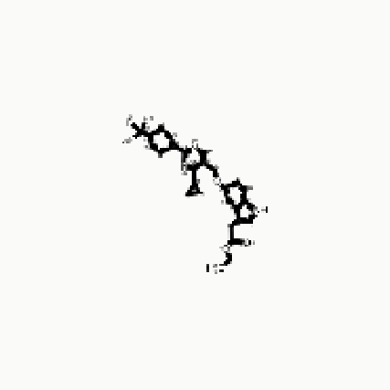 CCOC(=O)Cc1c[nH]c2ccc(OCc3cnc(-c4ccc(C(F)(F)F)cc4)nc3C3CC3)cc12